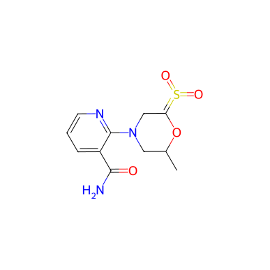 CC1CN(c2ncccc2C(N)=O)CC(=S(=O)=O)O1